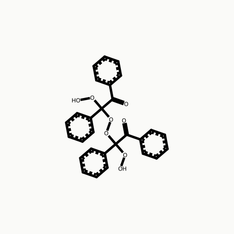 O=C(c1ccccc1)C(OO)(OOC(OO)(C(=O)c1ccccc1)c1ccccc1)c1ccccc1